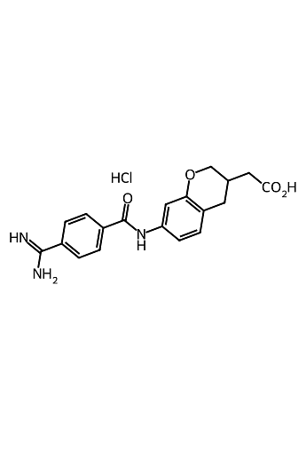 Cl.N=C(N)c1ccc(C(=O)Nc2ccc3c(c2)OCC(CC(=O)O)C3)cc1